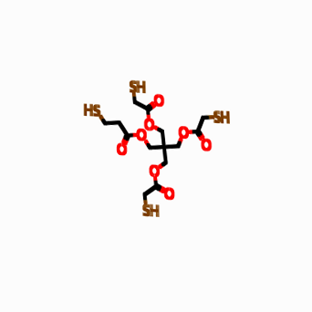 O=C(CS)OCC(COC(=O)CS)(COC(=O)CS)COC(=O)CCS